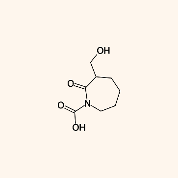 O=C(O)N1CCCCC(CO)C1=O